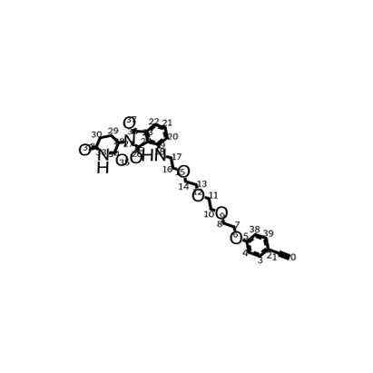 C#Cc1ccc(OCCOCCOCCOCCNc2cccc3c2C(=O)N(C2CCC(=O)NC2=O)C3=O)cc1